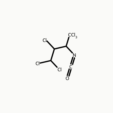 O=C=NC(C(Cl)C(Cl)Cl)C(Cl)(Cl)Cl